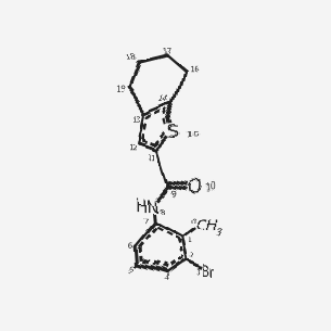 Cc1c(Br)cccc1NC(=O)c1cc2c(s1)CCCC2